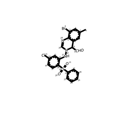 Cc1cc(Br)c2c(c1)C(C=O)N(Nc1cc(Cl)ccc1S(=O)(=O)c1ccccc1)C=N2